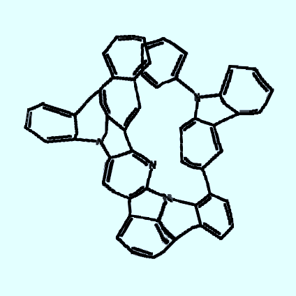 c1ccc(-n2c3ccccc3c3cc(-c4cccc5c6cccc7c8cc9c(nc8n(c45)c76)c4cc5ccccc5c5c6ccccc6n9c45)ccc32)cc1